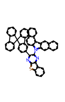 c1ccc2c(c1)-c1ccccc1C21c2ccccc2-c2cc(-c3nc4sc5ccccc5c4nc3-n3c4cc5ccccc5cc4c4c5ccccc5ccc43)ccc21